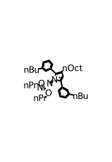 CCCCCCCCC1=C(c2cccc(CCCC)c2)[N+](=[N-])C(c2cccc(CCCC)c2)=C1.CCC[O][Ni][O]CCC